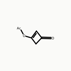 CC(=O)OC1=CC(=O)C1